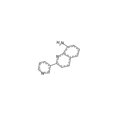 Nc1cccc2ccc(-c3cccnc3)nc12